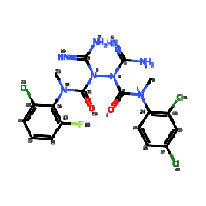 CN(C(=O)N(C(=N)N)N(C(=N)N)C(=O)N(C)c1c(F)cccc1Cl)c1ccc(Cl)cc1Cl